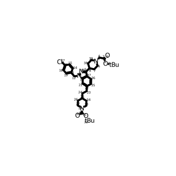 CC(C)(C)OC(=O)CN1CCC(c2nn(Cc3ccc(Cl)cc3)c3cc(CCC4CCN(C(=O)OC(C)(C)C)CC4)ccc23)CC1